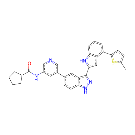 Cc1ccc(-c2cccc3[nH]c(-c4n[nH]c5ccc(-c6cncc(NC(=O)C7CCCC7)c6)cc45)cc23)s1